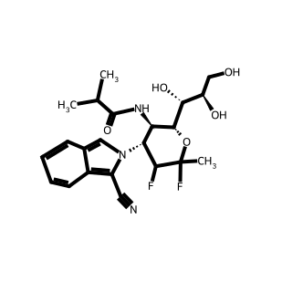 CC(C)C(=O)N[C@H]1[C@H]([C@H](O)[C@H](O)CO)OC(C)(F)C(F)[C@@H]1n1cc2ccccc2c1C#N